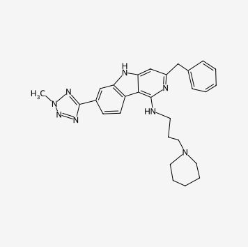 Cn1nnc(-c2ccc3c(c2)[nH]c2cc(Cc4ccccc4)nc(NCCCN4CCCCC4)c23)n1